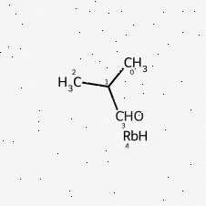 CC(C)C=O.[RbH]